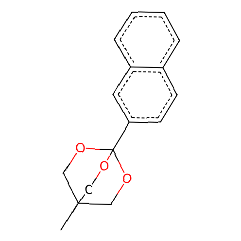 CC12COC(c3ccc4ccccc4c3)(OC1)OC2